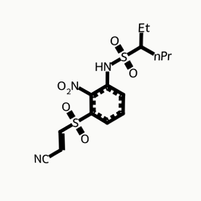 CCCC(CC)S(=O)(=O)Nc1cccc(S(=O)(=O)C=CC#N)c1[N+](=O)[O-]